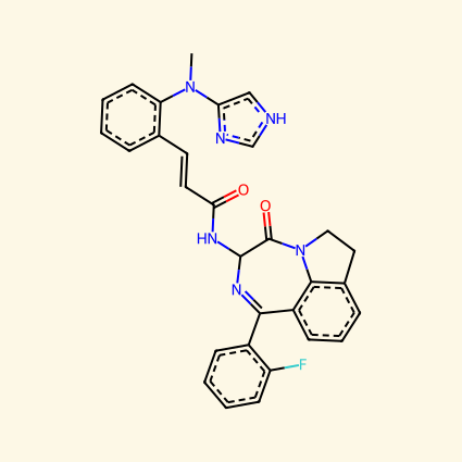 CN(c1c[nH]cn1)c1ccccc1/C=C/C(=O)NC1N=C(c2ccccc2F)c2cccc3c2N(CC3)C1=O